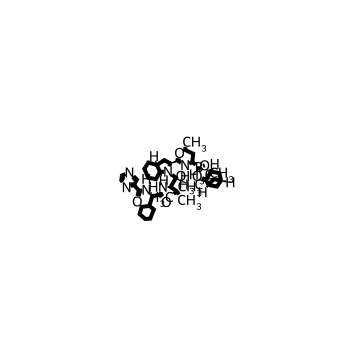 CCCC(NC(=O)[C@@H]1C[C@@H]2CCCC[C@@H]2N1C(=O)[C@@H](NC(=O)[C@@H](NC(=O)c1cnccn1)C1CCCCC1)C(C)(C)C)B1O[C@@H]2C[C@@H]3C[C@@H](C3(C)C)[C@]2(C)O1